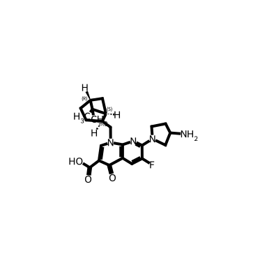 CC1(C)[C@@H]2CC[C@H](Cn3cc(C(=O)O)c(=O)c4cc(F)c(N5CCC(N)C5)nc43)[C@@H]1C2